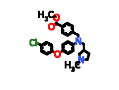 COC(=O)c1ccc(CN(CC2CCN(C)C2)c2ccc(Oc3ccc(Cl)cc3)cc2)cc1